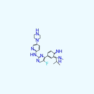 CN/C(=C1/C=C(c2nc(Nc3ccc(N4CCNCC4)cn3)ncc2F)C=CC1=N)C(C)C